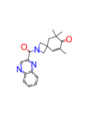 CC1=CC2(CN(C(=O)c3cnc4ccccc4n3)C2)CC(C)(C)C1=O